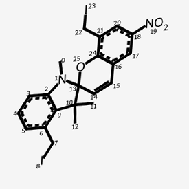 CN1c2cccc(CI)c2C(C)(C)C12C=Cc1cc([N+](=O)[O-])cc(CI)c1O2